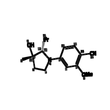 COc1cc(N2CC[C@](C)(O)[C@@H]2C(C)C)ccc1C#N